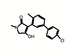 Cc1ccc(-c2ccc(Cl)cc2)cc1C1=C(O)CN(C)C1=O